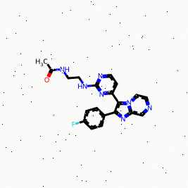 CC(=O)NCCNc1nccc(-c2c(-c3ccc(F)cc3)nc3cnccn23)n1